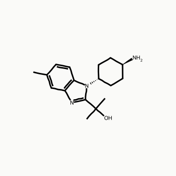 Cc1ccc2c(c1)nc(C(C)(C)O)n2[C@H]1CC[C@H](N)CC1